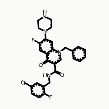 O=C(NCc1cc(Cl)ccc1F)c1cn(Cc2ccccc2)c2cc(N3CCNCC3)c(F)cc2c1=O